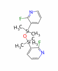 C[Si](C)(O[Si](C)(C)c1cccnc1F)c1cccnc1F